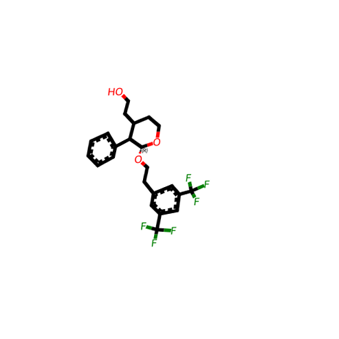 OCCC1CCO[C@H](OCCc2cc(C(F)(F)F)cc(C(F)(F)F)c2)C1c1ccccc1